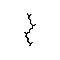 C=C(C)CCCC(C)CCCC(C)CCCC(C)C